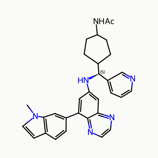 CC(=O)NC1CCC([C@H](Nc2cc(-c3ccc4ccn(C)c4c3)c3nccnc3c2)c2cccnc2)CC1